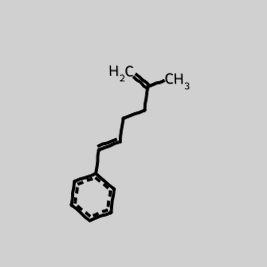 C=C(C)CCC=Cc1ccccc1